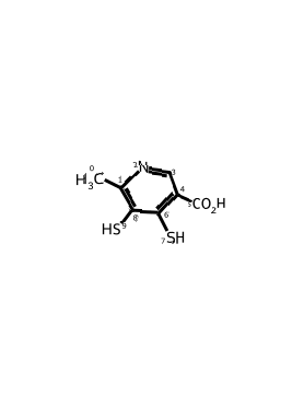 Cc1ncc(C(=O)O)c(S)c1S